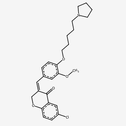 COc1cc(C=C2COc3ccc(Cl)cc3C2=O)ccc1OCCCCCN1CCCC1